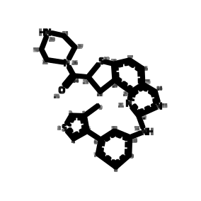 Cc1cscc1-c1cccc(Nc2ncc3ccc4c(c3n2)CC(C(=O)N2CCNCC2)S4)c1